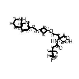 CC(C)(CC(=O)N[C@](C=O)(CO)CCO[C@H]1C[C@@H](CCc2ccc3c(n2)NCCC3)C1)C(F)(F)F